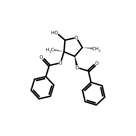 C[C@H]1OC(O)[C@](C)(OC(=O)c2ccccc2)[C@@H]1OC(=O)c1ccccc1